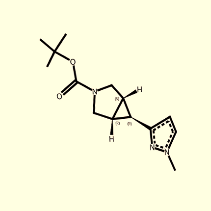 Cn1ccc([C@H]2[C@@H]3CN(C(=O)OC(C)(C)C)C[C@@H]32)n1